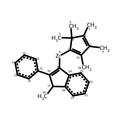 CC1=C(C)C(C)(C)[C]([Zr][C]2=C(c3ccccc3)C(C)c3ccccc32)=C1C